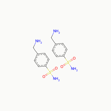 NCc1ccc(S(N)(=O)=O)cc1.NCc1ccc(S(N)(=O)=O)cc1